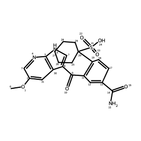 COc1cnc2[nH]cc(C(=O)c3cc(C(N)=O)ccc3C3(S(=O)(=O)O)CCCCC3)c2c1